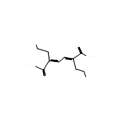 COC(=O)/C(=C/C=C(\CCO)C(=O)OC)CCO